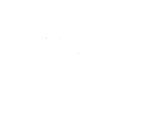 OCCN1CC(ON=C2CN(c3ncc(Br)cn3)C2)C1